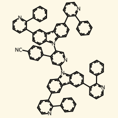 N#Cc1ccc(-c2cc(-n3c4ccc(-c5cccnc5-c5ccccc5)cc4c4cc(-c5cccnc5-c5ccccc5)ccc43)ncc2-n2c3ccc(-c4cccnc4-c4ccccc4)cc3c3cc(-c4cccnc4-c4ccccc4)ccc32)cc1